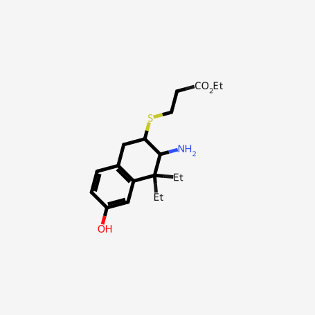 CCOC(=O)CCSC1Cc2ccc(O)cc2C(CC)(CC)C1N